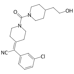 N#CC(=C1CCN(C(=O)N2CCC(CCO)CC2)CC1)c1cccc(Cl)c1